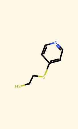 SCCSc1ccncc1